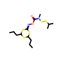 CCCC1SC(=NOC(=O)N(C)SSC(C)C)SC(CCC)S1